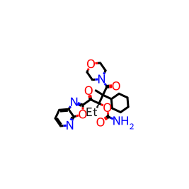 CC[C@@](OC(N)=O)(C(=O)c1nc2cccnc2o1)C(C)(C(=O)N1CCOCC1)C1CCCCC1